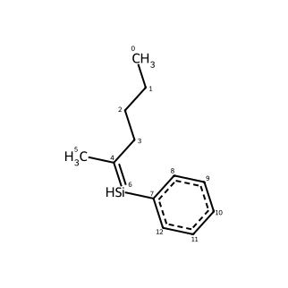 CCCCC(C)=[SiH]c1ccccc1